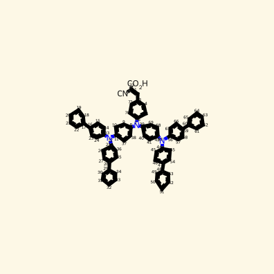 [C-]#[N+]/C(=C\c1ccc(N(c2ccc(N(c3ccc(-c4ccccc4)cc3)c3ccc(-c4ccccc4)cc3)cc2)c2ccc(N(c3ccc(-c4ccccc4)cc3)c3ccc(-c4ccccc4)cc3)cc2)cc1)C(=O)O